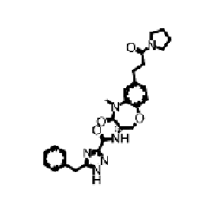 CN1C(=O)[C@H](NC(=O)c2n[nH]c(Cc3ccccc3)n2)COc2ccc(CCC(=O)N3CCCC3)cc21